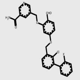 NC(=O)c1cncc(COc2cc(OCc3cccc(-c4ccccc4F)c3Cl)ccc2C=O)c1